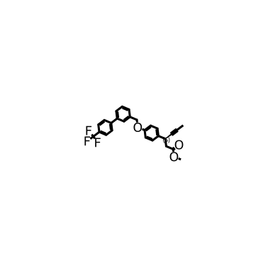 CC#C[C@@H](CC(=O)OC)c1ccc(OCc2cccc(-c3ccc(C(F)(F)F)cc3)c2)cc1